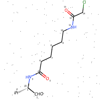 CC(C)[C@@H]([C]=O)NC(=O)CCCCCNC(=O)CCl